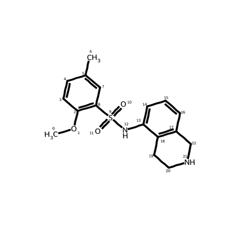 COc1ccc(C)cc1S(=O)(=O)Nc1cccc2c1CCNC2